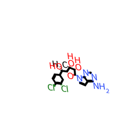 C[C@@]1(O)[C@@H]([C@H](O)C2C=CC(Cl)=C(Cl)C2)O[C@@H](n2ccc3c(N)ncnc32)[C@@H]1O